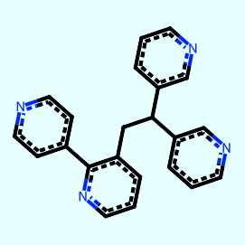 c1cncc(C(Cc2cccnc2-c2ccncc2)c2cccnc2)c1